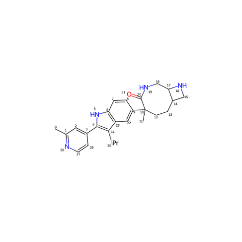 Cc1cc(-c2[nH]c3ccc(C4(C)CCC5CNC5CNC4=O)cc3c2C(C)C)ccn1